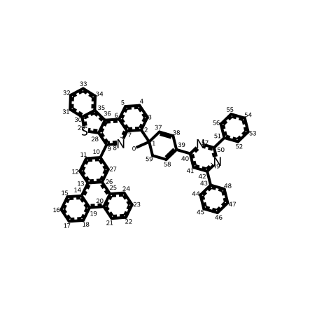 CC1(c2cccc3c2nc(-c2ccc4c5ccccc5c5ccccc5c4c2)c2sc4ccccc4c23)C=CC(c2cc(-c3ccccc3)nc(-c3ccccc3)n2)=CC1